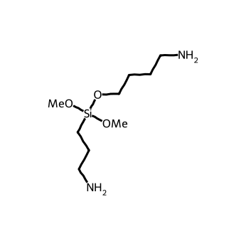 CO[Si](CCCN)(OC)OCCCCN